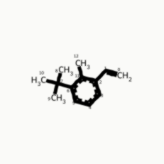 C=[C]c1cccc(C(C)(C)C)c1C